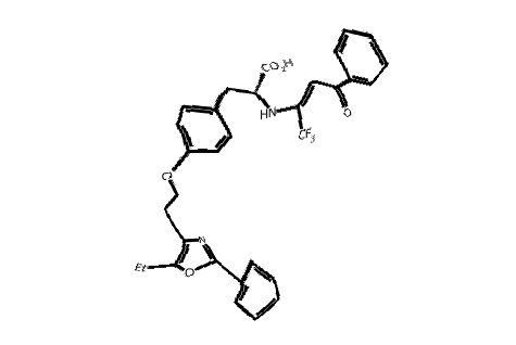 CCc1oc(-c2ccccc2)nc1CCOc1ccc(C[C@H](N/C(=C/C(=O)c2ccccc2)C(F)(F)F)C(=O)O)cc1